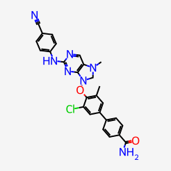 Cc1cc(-c2ccc(C(N)=O)cc2)cc(Cl)c1ON1CN(C)c2cnc(Nc3ccc(C#N)cc3)nc21